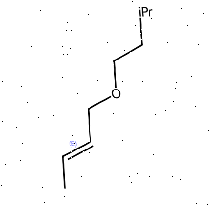 C/C=C/COCCC(C)C